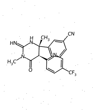 CN1C(=N)N[C@](C)(c2cccc(C#N)c2)[C@@H](c2ccc(C(F)(F)F)cn2)C1=O